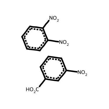 O=C(O)c1cccc([N+](=O)[O-])c1.O=[N+]([O-])c1ccccc1[N+](=O)[O-]